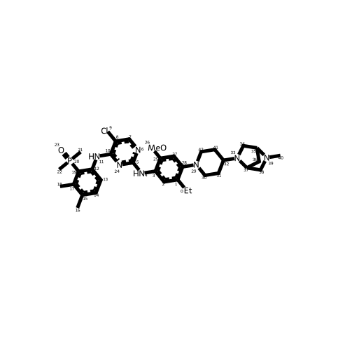 CCc1cc(Nc2ncc(Cl)c(Nc3ccc(C)c(C)c3P(C)(C)=O)n2)c(OC)cc1N1CCC(N2CC3CC2CN3C)CC1